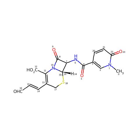 Cn1cc(C(=O)NC2C(=O)N3C(C(=O)O)=C(C=CC=O)CS[C@@H]23)ccc1=O